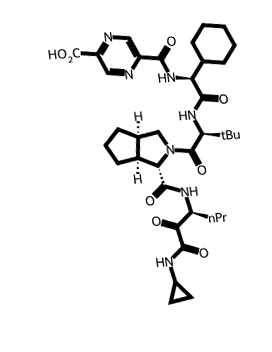 CCC[C@H](NC(=O)[C@@H]1[C@H]2CCC[C@H]2CN1C(=O)[C@@H](NC(=O)[C@@H](NC(=O)c1cnc(C(=O)O)cn1)C1CCCCC1)C(C)(C)C)C(=O)C(=O)NC1CC1